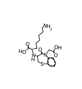 NCCCCCC[C@@H](NC1CSc2ccccc2N(CC(=O)O)C1=O)C(=O)O